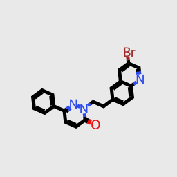 O=c1ccc(-c2ccccc2)nn1CCc1ccc2ncc(Br)cc2c1